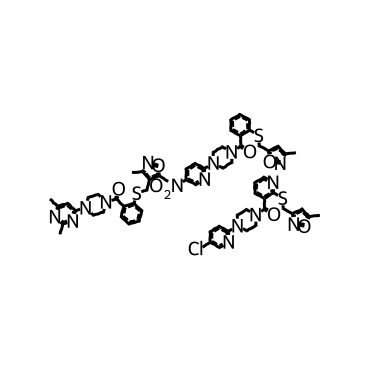 Cc1cc(CSc2ccccc2C(=O)N2CCN(c3ccc([N+](=O)[O-])cn3)CC2)on1.Cc1cc(CSc2ncccc2C(=O)N2CCN(c3ccc(Cl)cn3)CC2)no1.Cc1cc(N2CCN(C(=O)c3ccccc3SCc3c(C)noc3C)CC2)nc(C)n1